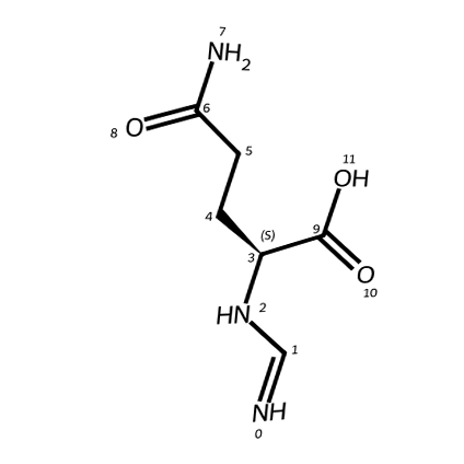 N=CN[C@@H](CCC(N)=O)C(=O)O